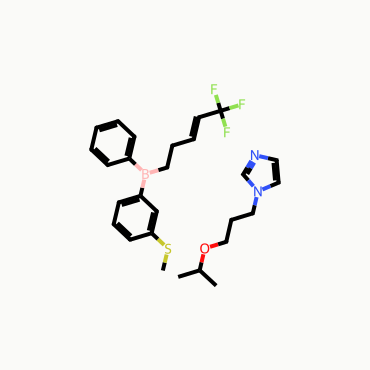 CC(C)OCCCn1ccnc1.CSc1cccc(B(CCC=CC(F)(F)F)c2ccccc2)c1